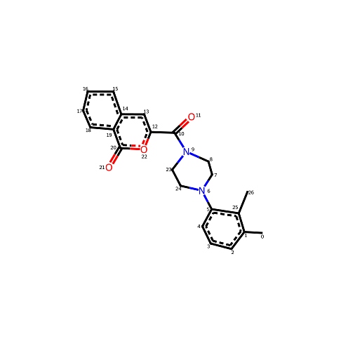 Cc1cccc(N2CCN(C(=O)c3cc4ccccc4c(=O)o3)CC2)c1C